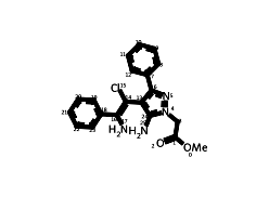 COC(=O)Cn1nc(-c2ccccc2)c(/C(Cl)=C(\N)c2ccccc2)c1N